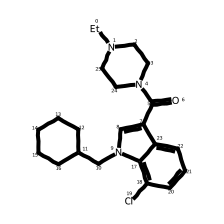 CCN1CCN(C(=O)c2cn(CC3CCCCC3)c3c(Cl)cccc23)CC1